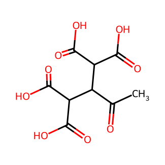 CC(=O)C(C(C(=O)O)C(=O)O)C(C(=O)O)C(=O)O